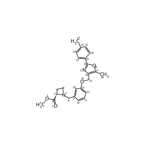 COC(=O)[C@H]1CCN1Cc1cccc(OCc2nc(-c3ccc(C)cc3)oc2C)c1